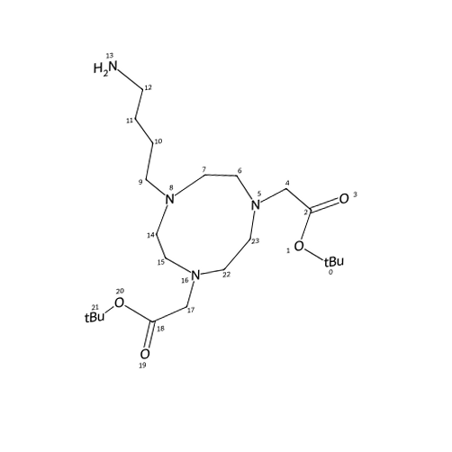 CC(C)(C)OC(=O)CN1CCN(CCCCN)CCN(CC(=O)OC(C)(C)C)CC1